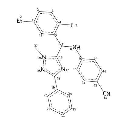 CCc1ccc(F)c(C(Nc2ccc(C#N)cc2)c2nc(-c3ccccc3)nn2C)c1